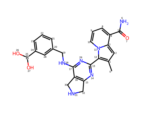 Cc1cc2c(C(N)=O)cccn2c1-c1nc2c(c(NCc3cccc(B(O)O)c3)n1)CNC2